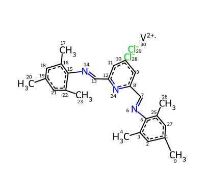 Cc1cc(C)c(N=Cc2cccc(C=Nc3c(C)cc(C)cc3C)n2)c(C)c1.[Cl-].[Cl-].[V+2]